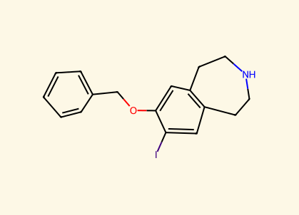 Ic1cc2c(cc1OCc1ccccc1)CCNCC2